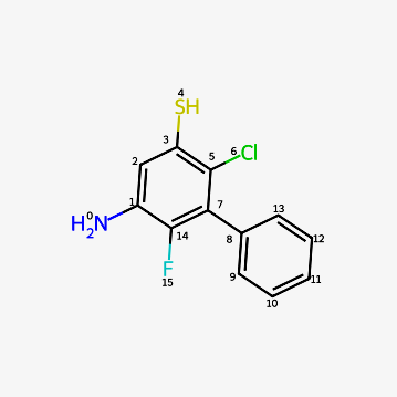 Nc1cc(S)c(Cl)c(-c2ccccc2)c1F